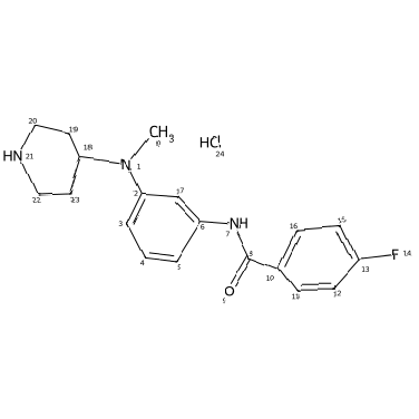 CN(c1cccc(NC(=O)c2ccc(F)cc2)c1)C1CCNCC1.Cl